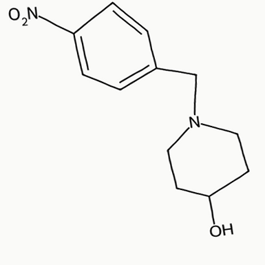 O=[N+]([O-])c1ccc(CN2CCC(O)CC2)cc1